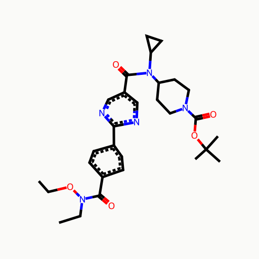 CCON(CC)C(=O)c1ccc(-c2ncc(C(=O)N(C3CC3)C3CCN(C(=O)OC(C)(C)C)CC3)cn2)cc1